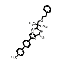 COC(C)(COCCc1ccccc1)C(=O)N[C@H](c1nc(-c2ccc(-c3ccc(C)cc3)cc2)c[nH]1)C(C)(C)C